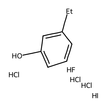 CCc1cccc(O)c1.Cl.Cl.Cl.F.I